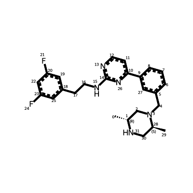 C[C@@H]1CN(Cc2cccc(-c3ccnc(NCCc4cc(F)cc(F)c4)n3)c2)[C@@H](C)CN1